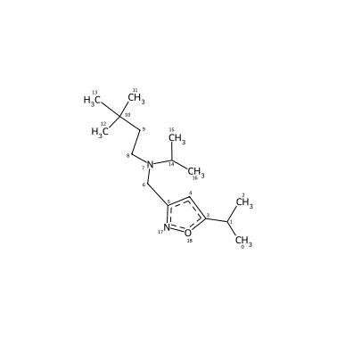 CC(C)c1cc(CN(CCC(C)(C)C)C(C)C)no1